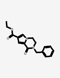 CCOC(=O)c1cc2n(c1)CCN(Cc1ccccc1)C2=O